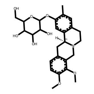 COc1ccc2c(c1OC)CN1CCc3cc(C)c(OC4OC(CO)C(O)C(O)C4O)cc3[C@@H]1C2